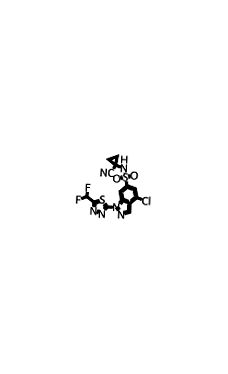 N#CC1(NS(=O)(=O)c2cc(Cl)c3cnn(-c4nnc(C(F)F)s4)c3c2)CC1